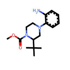 COC(=O)N1CCN(c2ccccc2N)CC1C(C)(C)C